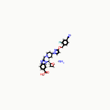 N.N#Cc1ccc(COc2ccn(C3CCN(Cc4nc5ccc(C(=O)O)cc5n4C[C@@H]4CCO4)CC3)n2)c(F)c1